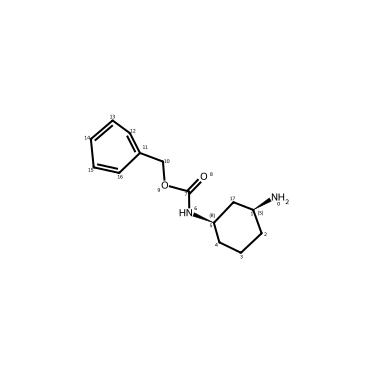 N[C@H]1CCC[C@@H](NC(=O)OCc2ccccc2)C1